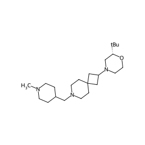 CN1CCC(CN2CCC3(CC2)CC(N2CCO[C@@H](C(C)(C)C)C2)C3)CC1